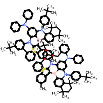 Cc1ccc2sc3c(c2c1)B1c2ccc4c(c2N(c2ccc(C(C)(C)C)cc2)c2cc(N(c5ccccc5)c5ccccc5CC(C)(C)c5ccc6sc7c(c6c5)B5c6ccc8c(c6N(c6ccc(C(C)(C)C)cc6)c6cc(N(c9ccccc9)c9ccccc9)cc(c65)N7c5ccc(C(C)(C)C)cc5-c5ccccc5)C(C)(C)CCC8(C)C)cc(c21)N3c1ccc(C(C)(C)C)cc1-c1ccccc1)C(C)(C)CCC4(C)C